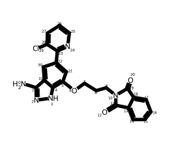 Nc1n[nH]c2c(OCCCN3C(=O)c4ccccc4C3=O)cc(-c3ncccc3Cl)cc12